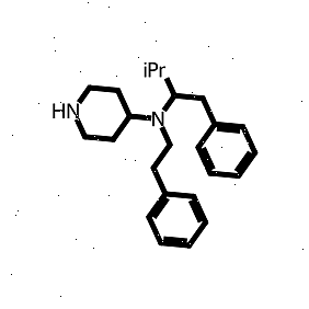 CC(C)C(Cc1ccccc1)N(CCc1ccccc1)C1CCNCC1